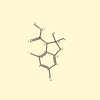 COC(=O)N1c2c(I)cc(F)cc2CC1(C)C